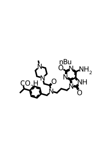 CCCCOc1nc(N)c2[nH]c(=O)n(CCCN(Cc3ccc(C(C)C(=O)O)cc3)C(=O)CN3CCN(C)CC3)c2n1